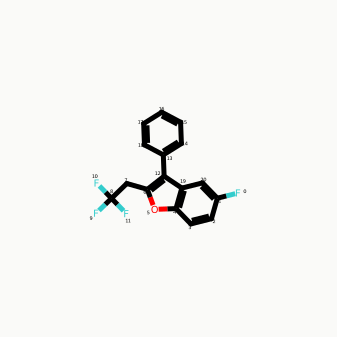 Fc1ccc2oc(CC(F)(F)F)c(-c3ccccc3)c2c1